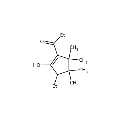 CCC(=O)C1=C(O)C(CC)C(C)(C)C1(C)C